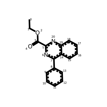 CCOC(=O)c1nc(-c2ccccc2)c2ccccc2n1